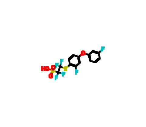 O=S(=O)(O)C(F)(F)C(F)(F)Sc1ccc(Oc2cccc(F)c2)cc1F